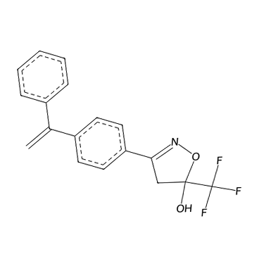 C=C(c1ccccc1)c1ccc(C2=NOC(O)(C(F)(F)F)C2)cc1